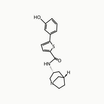 O=C(N[C@@H]1C[C@@H]2CCN(C2)C1)c1ccc(-c2cccc(O)c2)s1